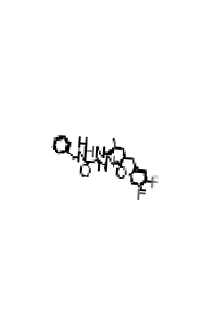 Cc1cc(Cc2ccc(F)c(F)c2)c(=O)n2nc(C(=O)NCc3ccccc3)[nH]c12